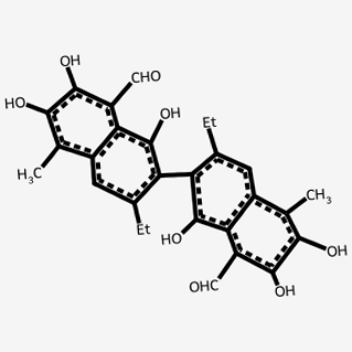 CCc1cc2c(C)c(O)c(O)c(C=O)c2c(O)c1-c1c(CC)cc2c(C)c(O)c(O)c(C=O)c2c1O